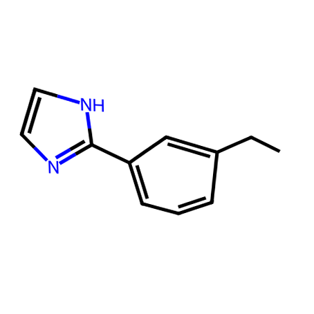 CCc1cccc(-c2ncc[nH]2)c1